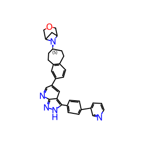 c1cncc(-c2ccc(-c3[nH]nc4ncc(-c5ccc6c(c5)CC[C@@H](N5C7COCC5C7)CC6)cc34)cc2)c1